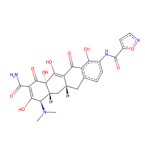 CN(C)[C@H]1C(O)=C(C(N)=O)C(=O)[C@@]2(O)C(O)=C3C(=O)c4c(ccc(NC(=O)c5ccno5)c4O)C[C@@H]3C[C@H]12